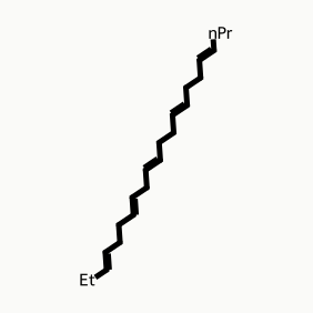 [CH2]CCC=CCCC=CCCC=CCC=CCCC=CCC